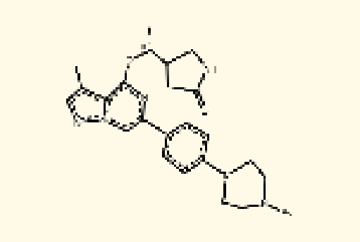 CC(=O)N1CCN(c2ccc(-c3cn4ncc(C)c4c(O[C@H](C)C4CNC(=O)C4)n3)cc2)CC1